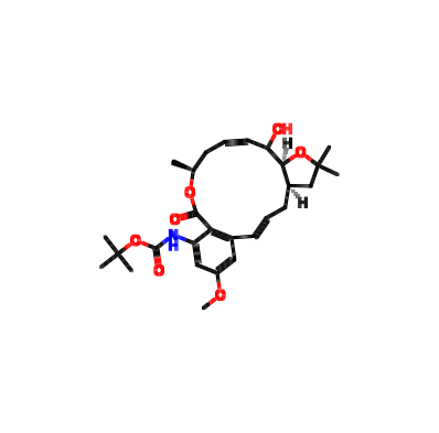 COc1cc2c(c(NC(=O)OC(C)(C)C)c1)C(=O)O[C@@H](C)C/C=C\C(O)[C@H]1OC(C)(C)C[C@H]1C/C=C/2